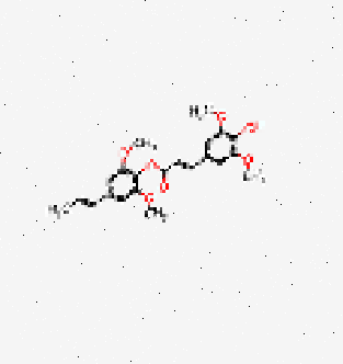 CC=Cc1cc(OC)c(OC(=O)C=Cc2cc(OC)c(O)c(OC)c2)c(OC)c1